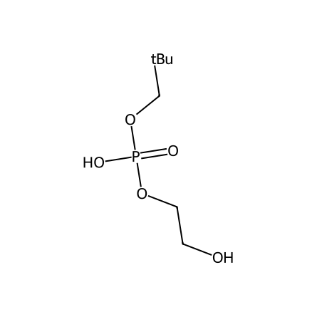 CC(C)(C)COP(=O)(O)OCCO